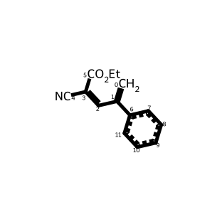 C=C(C=C(C#N)C(=O)OCC)c1ccccc1